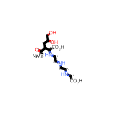 CNC(=O)C(CC(O)CO)C(NCCNCCNCC(=O)O)C(=O)O